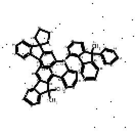 CC1(C)c2ccccc2-c2cccc(-c3ccccc3N(c3ccc4c(c3)C3(CCCC3)c3ccccc3-4)c3cccc4c3-c3ccccc3C4(C)c3ccccc3)c21